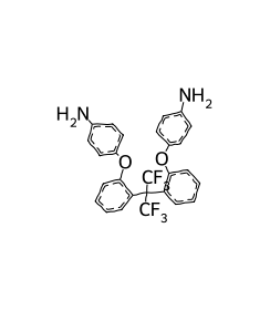 Nc1ccc(Oc2ccccc2C(c2ccccc2Oc2ccc(N)cc2)(C(F)(F)F)C(F)(F)F)cc1